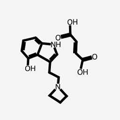 O=C(O)/C=C/C(=O)O.Oc1cccc2[nH]cc(CCN3CCC3)c12